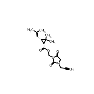 C#CCN1CC(=O)N(COC(=O)[C@@H]2[C@H](C=C(C)C)C2(C)C)C1=O